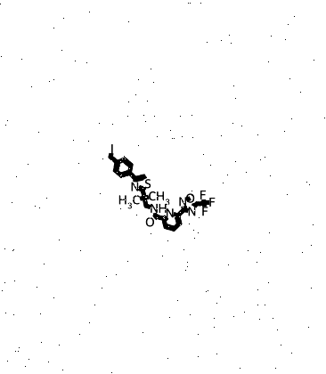 CC(C)(CNC(=O)c1cccc(-c2noc(C(F)(F)F)n2)n1)c1nc(-c2ccc(CI)cc2)cs1